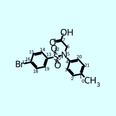 Cc1ccc(N(CC(=O)O)S(=O)(=O)c2ccc(Br)cc2)cc1